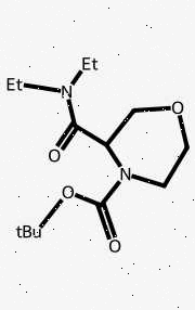 CCN(CC)C(=O)C1COCCN1C(=O)OC(C)(C)C